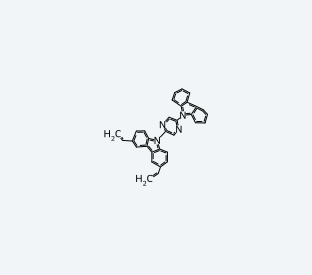 C=Cc1ccc2c(c1)c1cc(C=C)ccc1n2-c1cnc(-n2c3ccccc3c3ccccc32)cn1